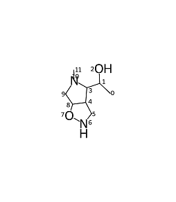 CC(O)C1C2CNOC2CN1C